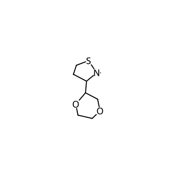 C1COC(C2CCS[N]2)CO1